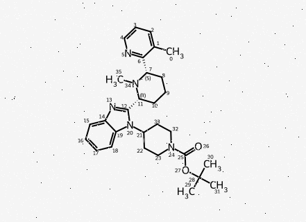 Cc1cccnc1[C@@H]1CCC[C@H](c2nc3ccccc3n2C2CCN(C(=O)OC(C)(C)C)CC2)N1C